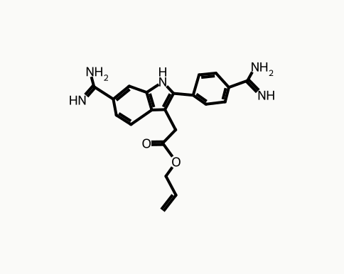 C=CCOC(=O)Cc1c(-c2ccc(C(=N)N)cc2)[nH]c2cc(C(=N)N)ccc12